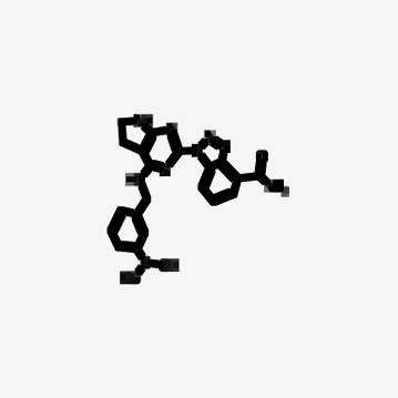 NC(=O)c1cccc2c1nnn2-c1nc2c(c(NCc3cccc(B(O)O)c3)n1)CCN2